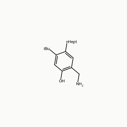 CCCCCCCc1cc(CN)c(O)cc1C(C)(C)C